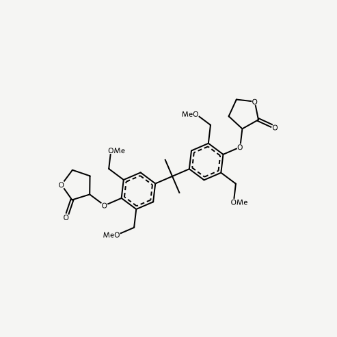 COCc1cc(C(C)(C)c2cc(COC)c(OC3CCOC3=O)c(COC)c2)cc(COC)c1OC1CCOC1=O